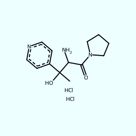 CC(O)(c1ccncc1)C(N)C(=O)N1CCCC1.Cl.Cl